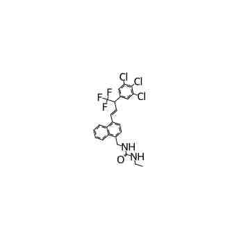 CCNC(=O)NCc1ccc(/C=C/C(c2cc(Cl)c(Cl)c(Cl)c2)C(F)(F)F)c2ccccc12